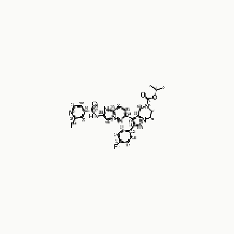 CC(C)OC(=O)N1CCn2nc(-c3ccc(F)cc3)c(-c3ccc4nc(NC(=O)c5ccnc(F)c5)cn4n3)c2C1